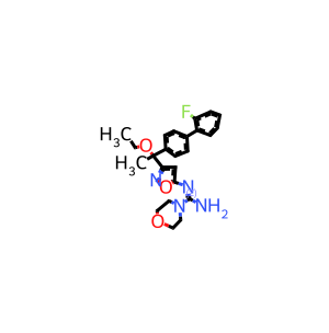 CCOC(C)(c1ccc(-c2ccccc2F)cc1)c1cc(/N=C(/N)N2CCOCC2)on1